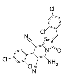 N#CC1=C(N)n2c(sc(=Cc3ccc(Cl)cc3Cl)c2=O)=C(C#N)C1c1ccc(Cl)cc1Cl